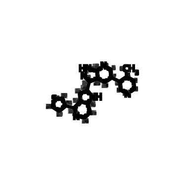 Cc1ccncc1-c1cnc2[nH]nc(-c3cc4c(-c5ccsc5)nccc4[nH]3)c2c1